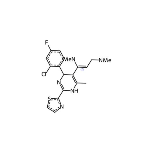 CNC/C=C(\NC)C1=C(C)NC(c2nccs2)=NC1c1ccc(F)cc1Cl